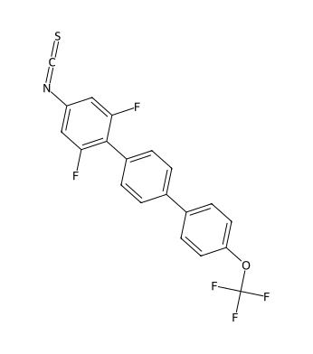 Fc1cc(N=C=S)cc(F)c1-c1ccc(-c2ccc(OC(F)(F)F)cc2)cc1